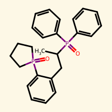 CC(Cc1ccccc1P1(=O)CCCC1)P(=O)(c1ccccc1)c1ccccc1